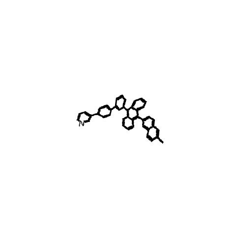 Cc1ccc2cc(-c3c4ccccc4c(-c4cccc(C5=CCC(c6cccnc6)C=C5)c4)c4ccccc34)ccc2c1